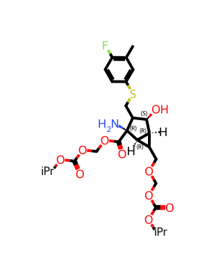 Cc1cc(SCC2[C@@H](O)[C@H]3C(COCOC(=O)OC(C)C)[C@H]3[C@]2(N)C(=O)OCOC(=O)OC(C)C)ccc1F